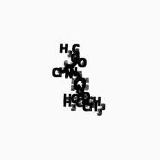 CCOC(=O)c1cc(Cl)nn1CC1CCN(C(O)OC(C)(C)C)CC1